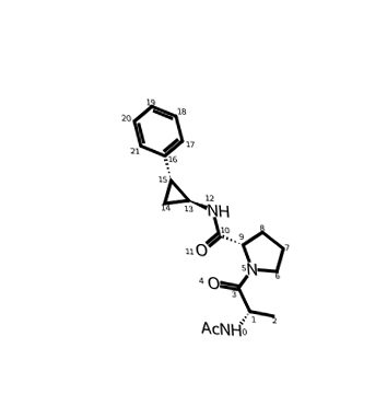 CC(=O)N[C@@H](C)C(=O)N1CCC[C@H]1C(=O)N[C@H]1C[C@@H]1c1ccccc1